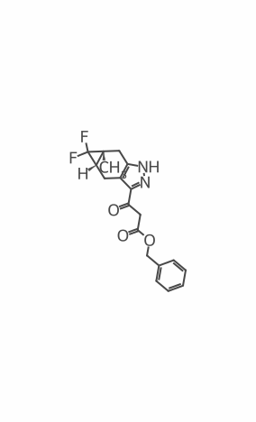 C[C@@]12Cc3[nH]nc(C(=O)CC(=O)OCc4ccccc4)c3C[C@@H]1C2(F)F